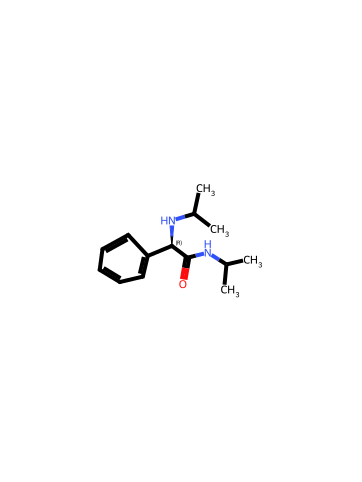 CC(C)NC(=O)[C@H](NC(C)C)c1ccccc1